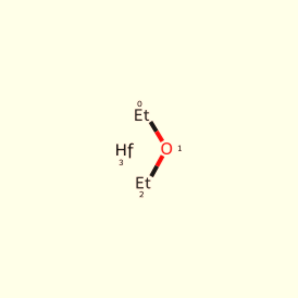 CCOCC.[Hf]